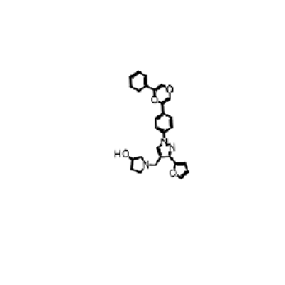 OC1CCN(Cc2cn(-c3ccc(C4=COC=C(C5=CC=CCC5)O4)cc3)nc2-c2ccco2)C1